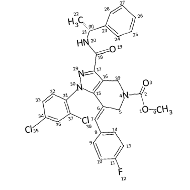 COC(=O)N1CC(=Cc2ccc(F)cc2)c2c(c(C(=O)N[C@H](C)c3ccccc3)nn2-c2ccc(Cl)cc2Cl)C1